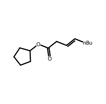 CCCCC=CCC(=O)OC1CCCC1